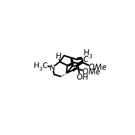 COC1=C[C@]23CCN(C)[C@H](Cc4ccc(OC)c(O)c42)C3=C[C@H]1C